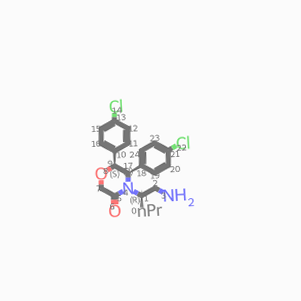 CCC[C@H](CN)N1C(=O)CO[C@@H](c2ccc(Cl)cc2)[C@H]1c1ccc(Cl)cc1